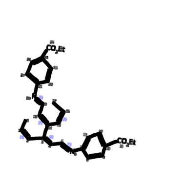 C\C=C/C(=C/C=N/c1ccc(C(=O)OCC)cc1)C(/C=C\C)=C/C=N/c1ccc(C(=O)OCC)cc1